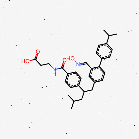 CC(C)CC(Cc1ccc(-c2ccc(C(C)C)cc2)c(/C=N/O)c1)c1ccc(C(=O)NCCC(=O)O)cc1